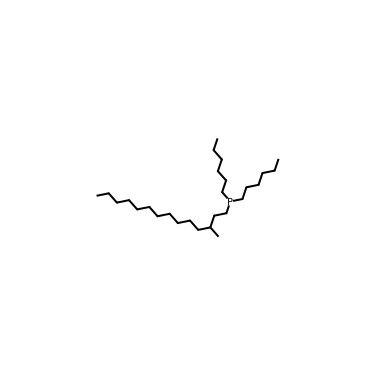 CCCCCCCCCCCC(C)CCP(CCCCCC)CCCCCC